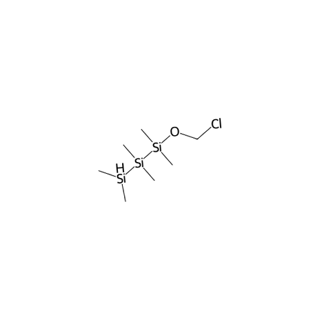 C[SiH](C)[Si](C)(C)[Si](C)(C)OCCl